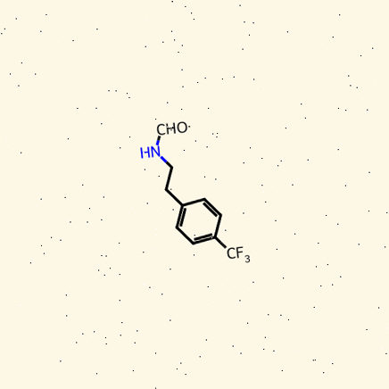 O=[C]NCCc1ccc(C(F)(F)F)cc1